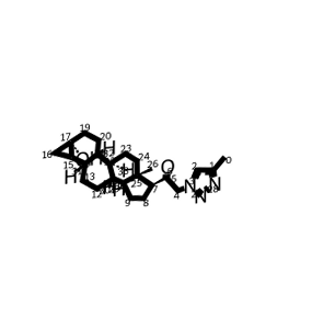 Cc1cn(CC(=O)[C@H]2CC[C@H]3[C@@H]4CC[C@@H]5C6C[C@@]6(O)CC[C@@H]5[C@H]4CC[C@]23C)nn1